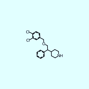 Clc1ccc(COCC(c2ccccc2)C2CCNCC2)cc1Cl